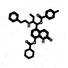 CCC(NCCc1ccccc1)C(OC(=O)c1ccc(C)cc1)c1ccc(OC(=O)C2CCCCC2)c2[nH]c(=O)ccc12